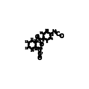 O=C=Nc1ccc(S(=O)(=O)c2ccccc2N=C=O)cc1